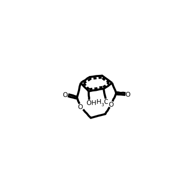 Cc1c2ccc(c1O)C(=O)OCCOC2=O